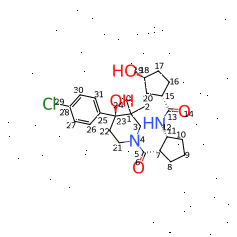 CC1(C)CN(C(=O)[C@H]2CCC[C@H]2NC(=O)[C@H]2CC[C@H](O)C2)CC[C@]1(O)c1ccc(Cl)cc1